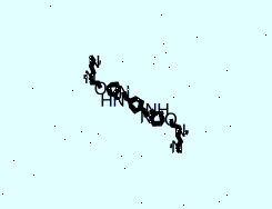 CN(C)CCN(C)CCOc1ccc2nc(-c3ccc(-c4nc5ccc(OCCN(C)CCN(C)C)cc5[nH]4)cc3)[nH]c2c1